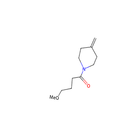 C=C1CCN(C(=O)CCCOC)CC1